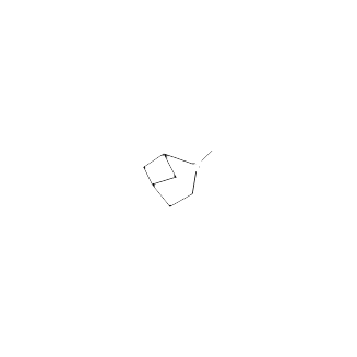 CN1CCC2CC1C2